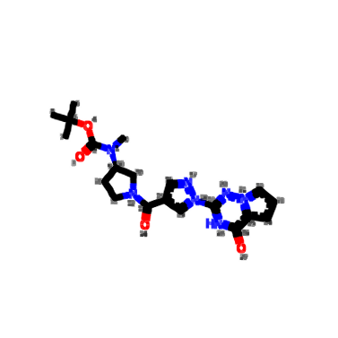 CN(C(=O)OC(C)(C)C)[C@@H]1CCN(C(=O)c2cnn(-c3nn4cccc4c(=O)[nH]3)c2)C1